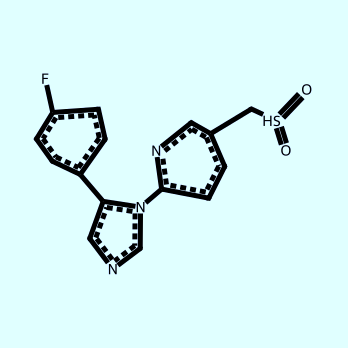 O=[SH](=O)Cc1ccc(-n2cncc2-c2ccc(F)cc2)nc1